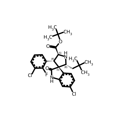 CC(C)(C)C[C@H]1N[C@H](C(=O)OC(C)(C)C)[C@@H](c2cccc(Cl)c2F)[C@@]12C(=O)Nc1cc(Cl)ccc12